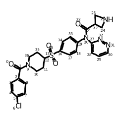 O=C(c1ccc(Cl)cc1)N1CCC(S(=O)(=O)c2ccc(N(C(=O)C3CNC3)c3cccnn3)cc2)CC1